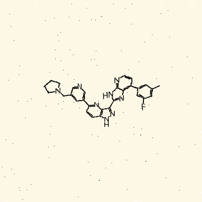 Cc1cc(F)cc(-c2ccnc3[nH]c(-c4n[nH]c5ccc(-c6cncc(CN7CCCC7)c6)nc45)nc23)c1